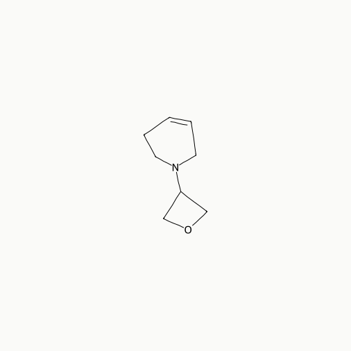 C1=CCN(C2COC2)CC1